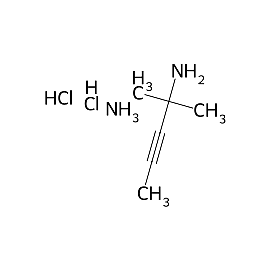 CC#CC(C)(C)N.Cl.Cl.N